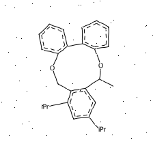 CC(C)c1cc(C(C)C)c2c(c1)C(C)Oc1ccccc1-c1ccccc1OC2